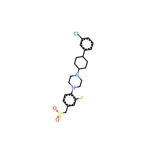 O=[SH](=O)Cc1ccc(N2CCN(C3CC[C](c4cccc(Cl)c4)CC3)CC2)c(F)c1